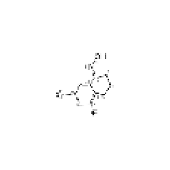 ON=C1CCCc2c(F)cc(Br)cc21